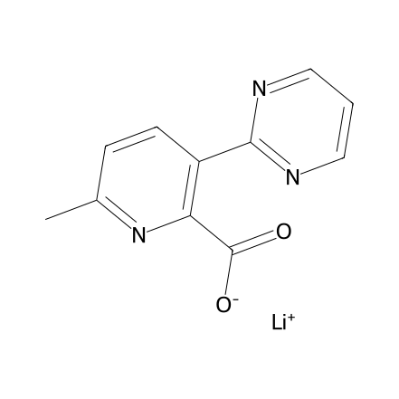 Cc1ccc(-c2ncccn2)c(C(=O)[O-])n1.[Li+]